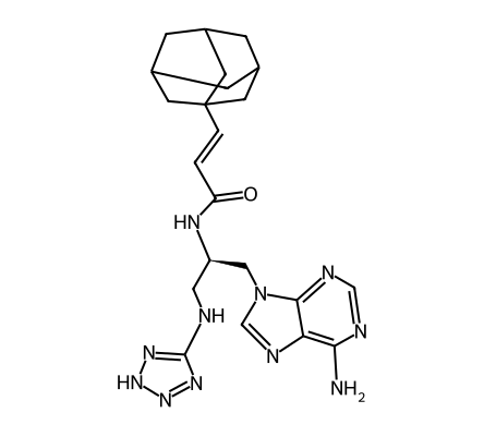 Nc1ncnc2c1ncn2C[C@@H](CNc1nn[nH]n1)NC(=O)/C=C/C12CC3CC(CC(C3)C1)C2